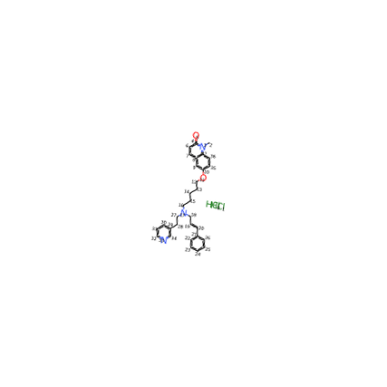 Cl.Cl.Cn1c(=O)ccc2cc(OCCCCCN(CC=Cc3ccccc3)CCc3cccnc3)ccc21